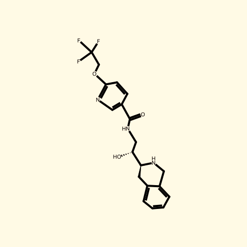 O=C(NC[C@@H](O)[C@@H]1Cc2ccccc2CN1)c1ccc(OCC(F)(F)F)nc1